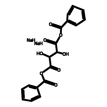 O=C(OC(=O)C(O)C(O)C(=O)OC(=O)c1ccccc1)c1ccccc1.[NaH].[NaH]